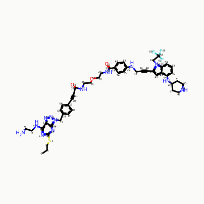 CCCSc1nc(NCCN)c2nnn(Cc3ccc(C#CC(=O)NCCOCCNC(=O)c4ccc(NCC#Cc5cc6c(NC7CCNCC7)cccc6n5CC(F)(F)F)cc4)cc3)c2n1